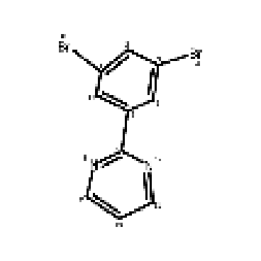 Brc1cc(Br)cc(-c2ncccn2)c1